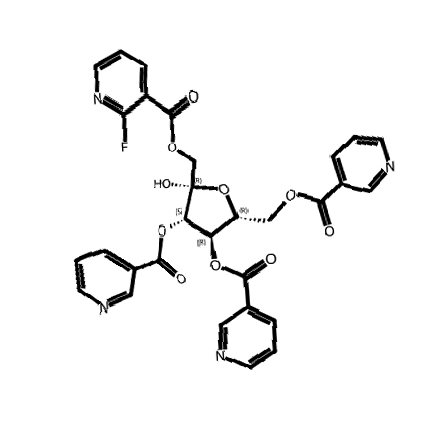 O=C(OC[C@H]1O[C@](O)(COC(=O)c2cccnc2F)[C@@H](OC(=O)c2cccnc2)[C@@H]1OC(=O)c1cccnc1)c1cccnc1